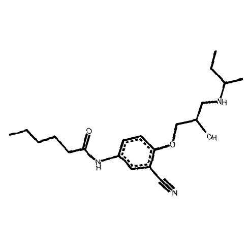 CCCCCC(=O)Nc1ccc(OCC(O)CNC(C)CC)c(C#N)c1